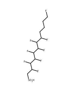 O=S(=O)(O)CC(F)C(F)C(F)C(F)C(F)C(F)C(F)CCCCF